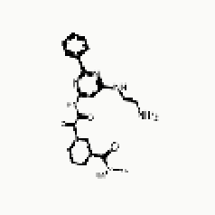 CCN(CC)C(=O)C1CCCN(C(=O)C(=O)Nc2cc(NCCNC(C)=O)nc(-c3ccccc3)n2)C1